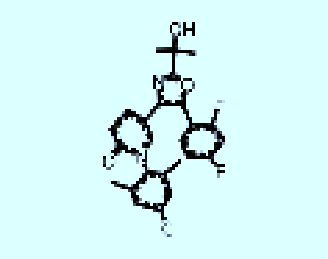 Cc1cc(Cl)cc(C)c1-n1cc(-c2nc(C(C)(C)O)oc2-c2ccc(F)cc2F)ccc1=O